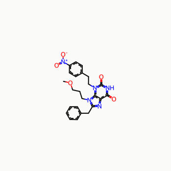 COCCCn1c(Cc2ccccc2)nc2c(=O)[nH]c(=O)n(CCc3ccc([N+](=O)[O-])cc3)c21